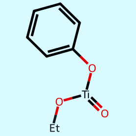 CC[O][Ti](=[O])[O]c1ccccc1